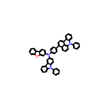 c1ccc(N2c3ccccc3-c3ccc(-c4ccc(N(c5ccc6c(c5)oc5ccccc56)c5ccc6c(c5)c5ccccc5n6-c5ccccc5)cc4)c4cccc2c34)cc1